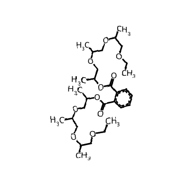 CCOCC(C)OCC(C)OCC(C)OC(=O)c1ccccc1C(=O)OC(C)COC(C)COC(C)COCC